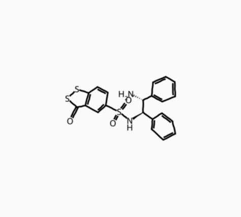 N[C@H](c1ccccc1)[C@H](NS(=O)(=O)c1ccc2ssc(=O)c2c1)c1ccccc1